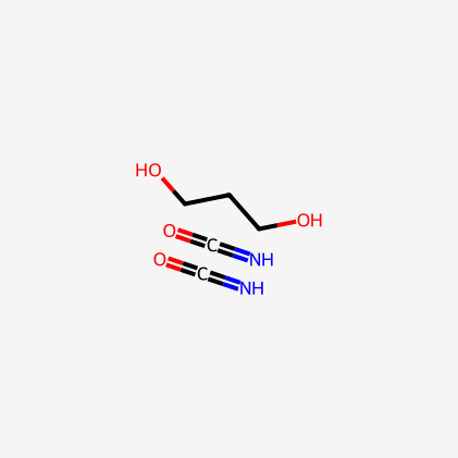 N=C=O.N=C=O.OCCCO